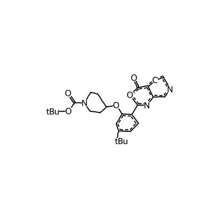 CC(C)(C)OC(=O)N1CCC(Oc2cc(C(C)(C)C)ccc2-c2nc3cnccc3c(=O)o2)CC1